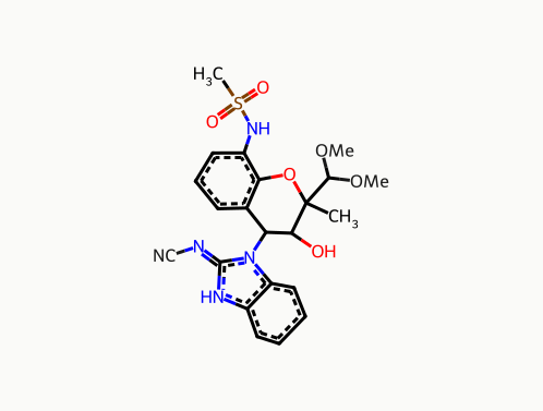 COC(OC)C1(C)Oc2c(NS(C)(=O)=O)cccc2C(n2c(=NC#N)[nH]c3ccccc32)C1O